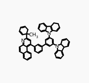 CC1(c2cc(-c3cccc(-c4cc(N5c6ccccc6C6C=CC=CC65)cc(-n5c6c(c7ccccc75)CCC=C6)c4)c3)c3c(ccc4ccccc43)n2)C=CC=CC1